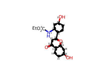 CCOC(=O)Nc1cc(O)ccc1-c1cc(=O)c2ccc(O)cc2o1